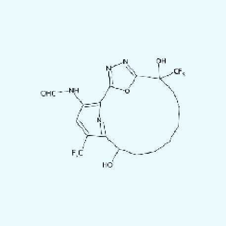 O=CNc1cc(C(F)(F)F)c2nc1-c1nnc(o1)C(O)(C(F)(F)F)CCCCCCC2O